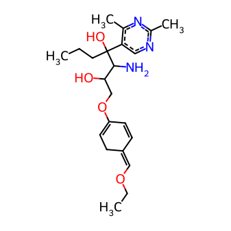 CCCC(O)(c1cnc(C)nc1C)C(N)C(O)COC1=CCC(=COCC)C=C1